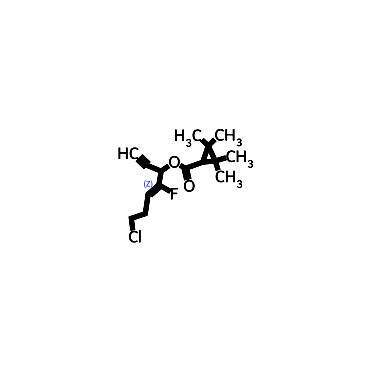 C#CC(OC(=O)C1C(C)(C)C1(C)C)/C(F)=C/CCCl